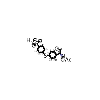 CC(=O)O/N=C1/COc2cc(Sc3ccc(S(C)(=O)=O)cc3)ccc21